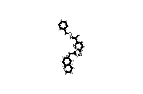 CC(=NOCc1ccccc1)c1ccc2nnc(Cc3ccc4ncccc4c3)n2n1